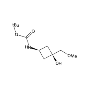 COC[C@]1(O)C[C@@H](NC(=O)OC(C)(C)C)C1